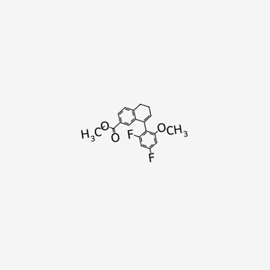 COC(=O)c1ccc2c(c1)C(c1c(F)cc(F)cc1OC)=CCC2